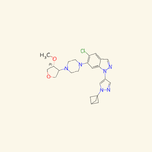 CO[C@H]1COCC1N1CCN(c2cc3c(cnn3-c3cnn(C45CC(C4)C5)c3)cc2Cl)CC1